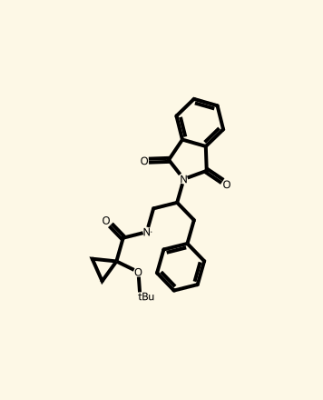 CC(C)(C)OC1(C(=O)[N]CC(Cc2ccccc2)N2C(=O)c3ccccc3C2=O)CC1